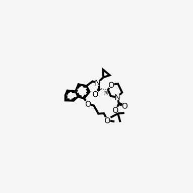 COCCCOc1cc(CN(C(=O)[C@H]2CN(C(=O)OC(C)(C)C)CCO2)C2CC2)cc2ccccc12